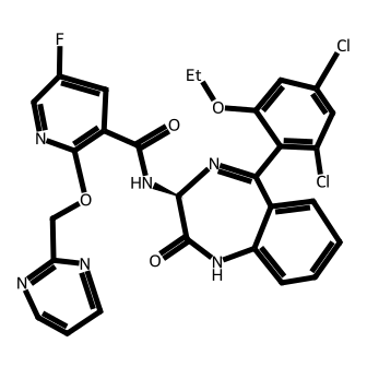 CCOc1cc(Cl)cc(Cl)c1C1=N[C@H](NC(=O)c2cc(F)cnc2OCc2ncccn2)C(=O)Nc2ccccc21